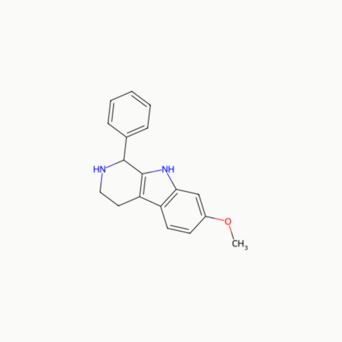 COc1ccc2c3c([nH]c2c1)C(c1ccccc1)NCC3